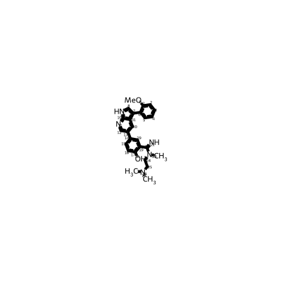 COc1ccccc1-c1c[nH]c2ncc(-c3ccc(O)c(C(=N)N(C)CCN(C)C)c3)cc12